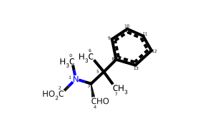 CN(C(=O)O)[C@H](C=O)C(C)(C)c1ccccc1